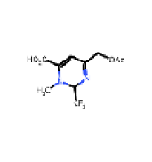 CC(=O)OCC1=NC(C(F)(F)F)N(C)C(C(=O)O)=C1